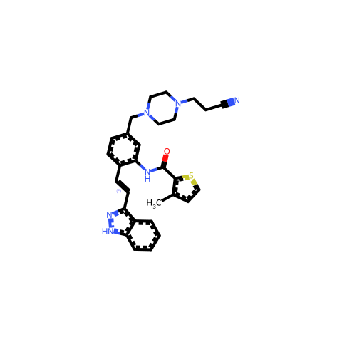 Cc1ccsc1C(=O)Nc1cc(CN2CCN(CCC#N)CC2)ccc1/C=C/c1n[nH]c2ccccc12